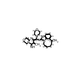 C=C(C(=N)N1CCOCC1)/C(N)=C(\N=C(/N)N1C/C=C\CCC(=C)c2ccccc21)N1CCOCC1